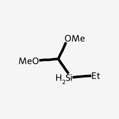 [CH2]C[SiH2]C(OC)OC